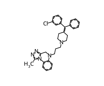 Cc1nnc2n1-c1ccccc1N(CCCN1CCC(=C(c3ccccc3)c3cccc(Cl)c3)CC1)C2